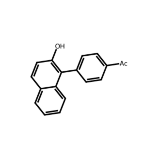 CC(=O)c1ccc(-c2c(O)ccc3ccccc23)cc1